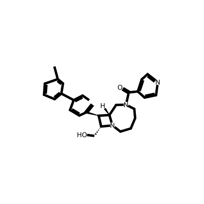 C=C(/C=C\C(=C/C)c1cccc(C)c1)[C@@H]1[C@@H](CO)N2CCCCN(C(=O)c3ccncc3)C[C@@H]12